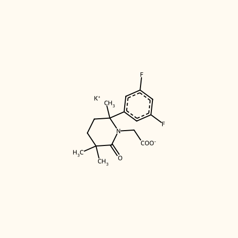 CC1(C)CCC(C)(c2cc(F)cc(F)c2)N(CC(=O)[O-])C1=O.[K+]